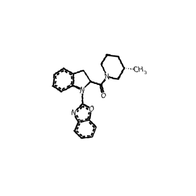 C[C@H]1CCCN(C(=O)C2Cc3ccccc3N2c2nc3ccccc3o2)C1